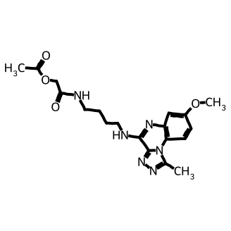 COc1ccc2c(c1)nc(NCCCCNC(=O)COC(C)=O)c1nnc(C)n12